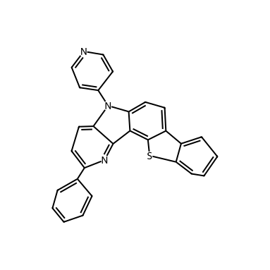 c1ccc(-c2ccc3c(n2)c2c4sc5ccccc5c4ccc2n3-c2ccncc2)cc1